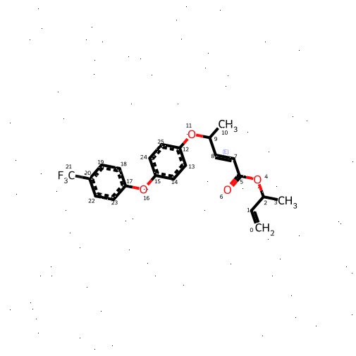 C=CC(C)OC(=O)/C=C/C(C)Oc1ccc(Oc2ccc(C(F)(F)F)cc2)cc1